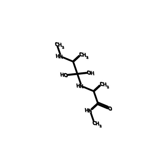 CNC(=O)C(C)NC(O)(O)C(C)NC